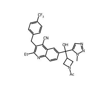 CCc1nc2ccc(C(O)(c3cnnn3C)C3CN(C(C)=O)C3)cc2c(C#N)c1Cc1ccc(C(F)(F)F)cc1